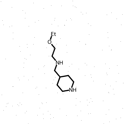 CCOCCNCC1CCNCC1